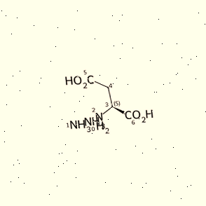 N.N.N[C@@H](CC(=O)O)C(=O)O